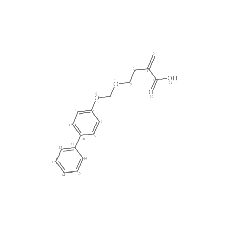 C=C(CCOCOc1ccc(-c2ccccc2)cc1)C(=O)O